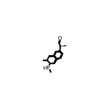 CPC1C=c2ccc([C@H](C)C=O)cc2=CC1C